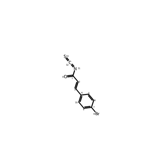 O=C(C=Cc1ccc(Br)cc1)N=C=S